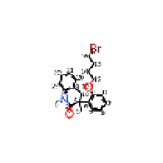 CN1C(=O)C(C)(c2ccccc2OCCCCBr)Cc2ccccc21